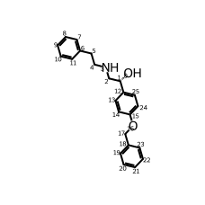 O[C@@H](CNCCc1ccccc1)c1ccc(OCc2ccccc2)cc1